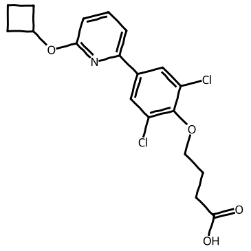 O=C(O)CCCOc1c(Cl)cc(-c2cccc(OC3CCC3)n2)cc1Cl